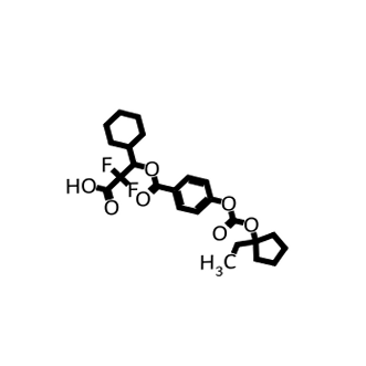 CCC1(OC(=O)Oc2ccc(C(=O)OC(C3CCCCC3)C(F)(F)C(=O)O)cc2)CCCC1